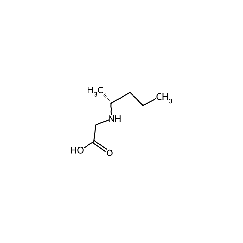 CCC[C@@H](C)NCC(=O)O